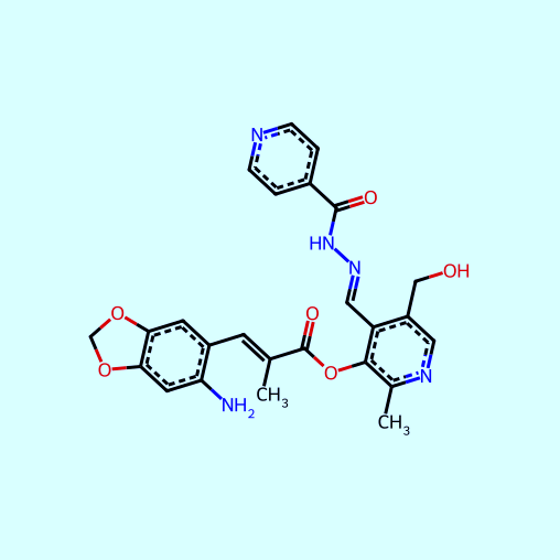 C/C(=C\c1cc2c(cc1N)OCO2)C(=O)Oc1c(C)ncc(CO)c1/C=N/NC(=O)c1ccncc1